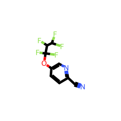 N#Cc1ccc(OC(F)(F)C(F)C(F)F)cn1